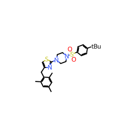 Cc1cc(C)c(Cc2csc(N3CCN(S(=O)(=O)c4ccc(C(C)(C)C)cc4)CC3)n2)c(C)c1